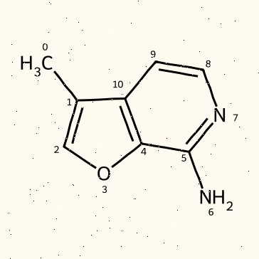 Cc1coc2c(N)nccc12